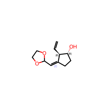 C=C[C@@H]1/C(=C\C2OCCO2)CC[C@H]1O